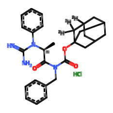 Cl.[2H]C12CC3CC(C1)CC(OC(=O)N(Cc1ccccc1)C(=O)[C@H](C)N(C(=N)N)c1ccccc1)(C3)C2([2H])[2H]